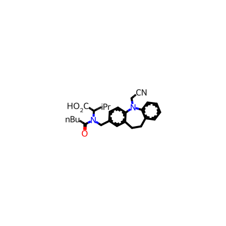 CCCCC(=O)N(Cc1ccc2c(c1)CCc1ccccc1N2CC#N)C(C(=O)O)C(C)C